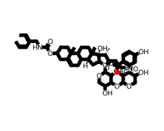 C/C=C\C(=C/C)CNC(=O)OC1CCC2(C)C(=CCC3C2CCC2(C)[C@H]3CC(OC3OCC(O)C(OC4OCC(O)C(N=O)C4OC(=O)c4ccc(O)cc4)C3OC(C)=O)[C@]2(O)[C@H](C)C(=O)CCC(C)C)C1